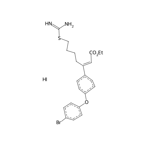 CCOC(=O)C=C(CCCCSC(=N)N)c1ccc(Oc2ccc(Br)cc2)cc1.I